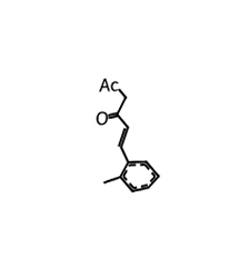 CC(=O)CC(=O)/C=C/c1ccccc1C